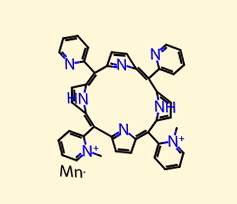 C[n+]1ccccc1-c1c2nc(c(-c3cccc[n+]3C)c3ccc([nH]3)c(-c3ccccn3)c3nc(c(-c4ccccn4)c4ccc1[nH]4)C=C3)C=C2.[Mn]